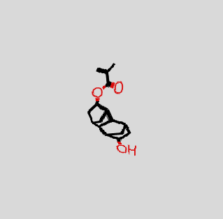 C=C(C)C(=O)OC1CC2CC1C1C3CC(O)C(C3)C21